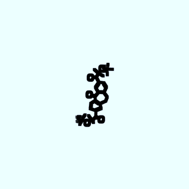 CC(C)(O[Si](C)(C)C)C(=O)c1ccc2c(c1)CCc1ccc(C(=O)C(C)(C)O[Si](C)(C)C)cc1C2=O